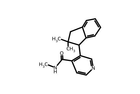 CNC(=O)c1ccncc1C1c2ccccc2CC1(C)C